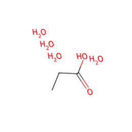 CCC(=O)O.O.O.O.O